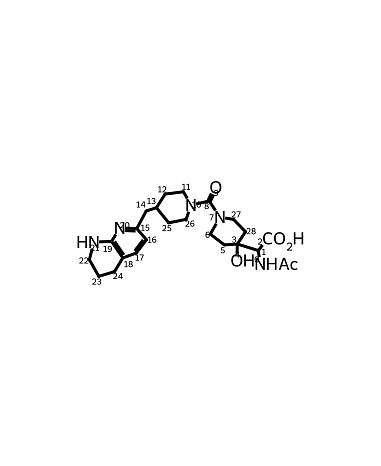 CC(=O)NC(C(=O)O)C1(O)CCN(C(=O)N2CCC(Cc3ccc4c(n3)NCCC4)CC2)CC1